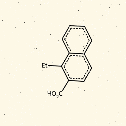 CCc1c(C(=O)O)ccc2ccccc12